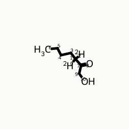 [2H]C([2H])(CCCC)C(=O)CO